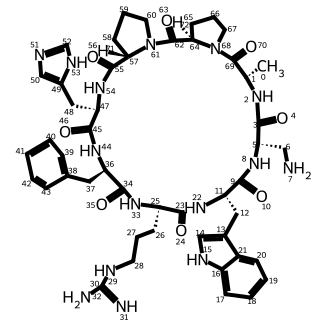 C[C@@H]1NC(=O)[C@H](CN)NC(=O)[C@H](Cc2c[nH]c3ccccc23)NC(=O)[C@H](CCCNC(=N)N)NC(=O)[C@@H](Cc2ccccc2)NC(=O)[C@H](Cc2cnc[nH]2)NC(=O)[C@@H]2CCCN2C(=O)[C@H]2CCCN2C1=O